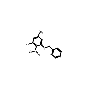 CC(=O)N(C(C)=O)c1c(I)cc(C)cc1SCc1ccccc1